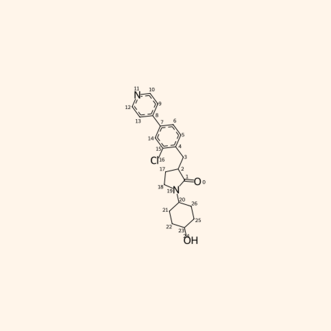 O=C1C(Cc2ccc(-c3ccncc3)cc2Cl)CCN1C1CCC(O)CC1